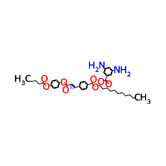 CCCCCCCCCCC(OC(=O)c1ccc(/C=C/C(=O)Oc2ccc(OC(=O)CCCC)cc2)cc1)OC(=O)c1cc(N)cc(N)c1